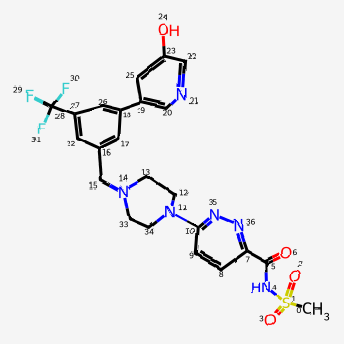 CS(=O)(=O)NC(=O)c1ccc(N2CCN(Cc3cc(-c4cncc(O)c4)cc(C(F)(F)F)c3)CC2)nn1